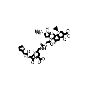 O=C(Cc1cccs1)NC1C(=O)N2C(C(=O)[O-])=CC(CNC(=S)SCC(=O)N(c3c(F)cc4c(=O)c(C(=O)[O-])cn(C5CC5)c4c3Cl)C3CCNC3)SC12.[Na+].[Na+]